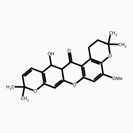 COc1cc2c(c3c1OC(C)(C)CC3)C(=O)C1C(=CC3=C(C=CC(C)(C)O3)C1O)O2